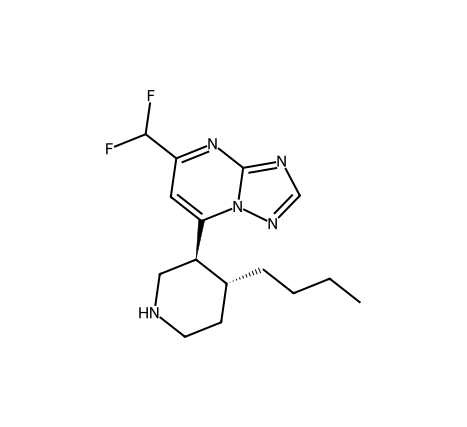 CCCC[C@@H]1CCNC[C@H]1c1cc(C(F)F)nc2ncnn12